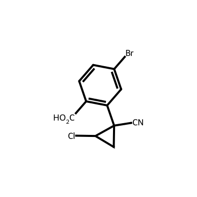 N#CC1(c2cc(Br)ccc2C(=O)O)CC1Cl